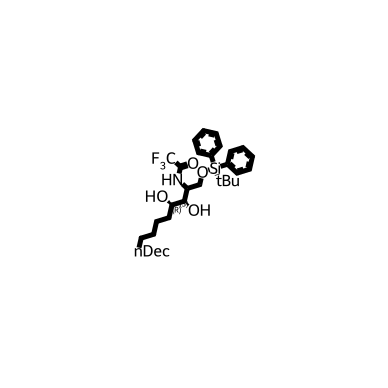 CCCCCCCCCCCCCC[C@@H](O)[C@@H](O)C(CO[Si](c1ccccc1)(c1ccccc1)C(C)(C)C)NC(=O)C(F)(F)F